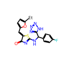 CCc1ccc(/C=C2\SC(NC(c3ccc(F)cc3)c3nnn[nH]3)=NC2=O)o1